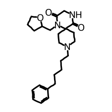 O=C1CNC(=O)C2(CCN(CCCCCc3ccccc3)CC2)N1CC1CCCO1